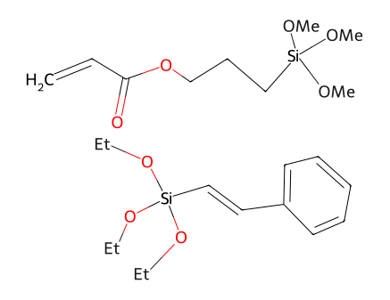 C=CC(=O)OCCC[Si](OC)(OC)OC.CCO[Si](C=Cc1ccccc1)(OCC)OCC